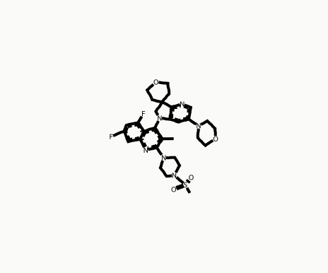 Cc1c(N2CCN(S(C)(=O)=O)CC2)nc2cc(F)cc(F)c2c1N1CC2(CCOCC2)c2ncc(N3CCOCC3)cc21